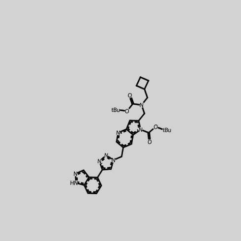 CC(C)(C)OC(=O)N(Cc1cc2ncc(Cn3cc(-c4cccc5[nH]ncc45)nn3)cc2n1C(=O)OC(C)(C)C)CC1CCC1